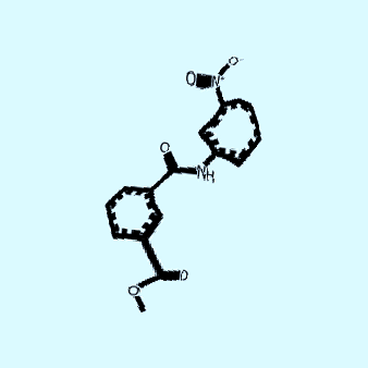 COC(=O)c1cccc(C(=O)Nc2cccc([N+](=O)[O-])c2)c1